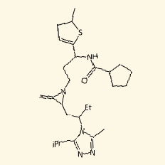 C=C1C(CC(CC)n2c(C)nnc2C(C)C)N1CCC(NC(=O)C1CCCC1)C1=CCC(C)S1